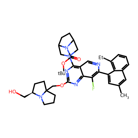 CCc1cccc2cc(C)cc(-c3ncc4c(N5CC6CCC(C5)N6C(=O)OC(C)(C)C)nc(OCC56CCCN5[C@@H](CO)CC6)nc4c3F)c12